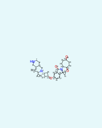 CC(C)N(CC1CCNCC1)[C@H]1C[C@H](Oc2ccc3c(c2)C(=O)N(C2CCC(=O)CCC2=O)C32CC2)C1